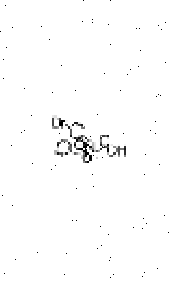 C[C@@H](C(=O)O)N(Cc1ccc(Br)cc1)S(=O)(=O)Cc1ccccc1